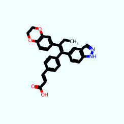 CC/C(=C(/c1ccc(/C=C/C(=O)O)cc1)c1ccc2[nH]ncc2c1)c1ccc2c(c1)OCCO2